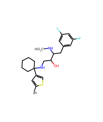 CC(C)c1cc(C2(NCC(O)C(Cc3cc(F)cc(F)c3)NC(=O)O)CCCCC2)cs1